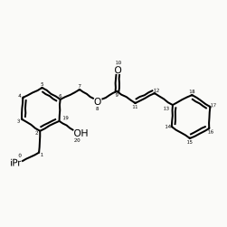 CC(C)Cc1cccc(COC(=O)/C=C/c2ccccc2)c1O